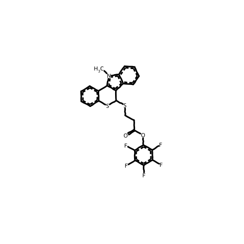 Cn1c2c(c3ccccc31)C(SCCC(=O)Oc1c(F)c(F)c(F)c(F)c1F)Sc1ccccc1-2